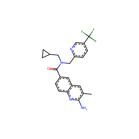 Cc1cc2cc(C(=O)N(Cc3ccc(C(F)(F)F)cn3)CC3CC3)ccc2nc1N